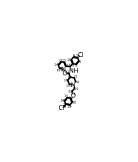 O=C(N[C@@H](c1ccc(Cl)cc1)c1ccccn1)C1CCN(CCOc2ccc(Cl)cc2)CC1